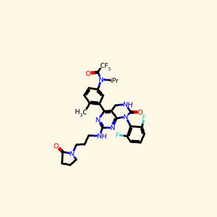 Cc1ccc(N(C(=O)C(F)(F)F)C(C)C)cc1-c1nc(NCCCN2CCCC2=O)nc2c1CNC(=O)N2c1c(F)cccc1F